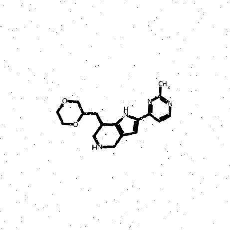 Cc1nccc(-c2cc3c([nH]2)C(CC2COCCO2)CNC3)n1